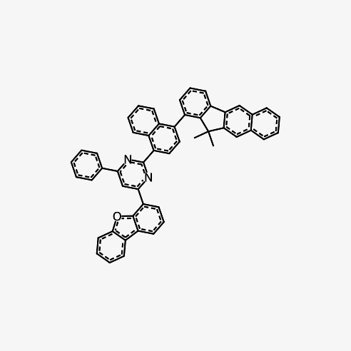 CC1(C)c2cc3ccccc3cc2-c2cccc(-c3ccc(-c4nc(-c5ccccc5)cc(-c5cccc6c5oc5ccccc56)n4)c4ccccc34)c21